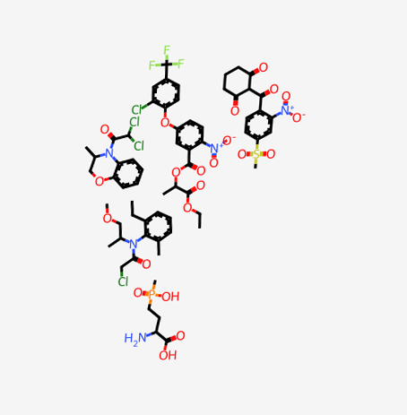 CC1COc2ccccc2N1C(=O)C(Cl)Cl.CCOC(=O)C(C)OC(=O)c1cc(Oc2ccc(C(F)(F)F)cc2Cl)ccc1[N+](=O)[O-].CCc1cccc(C)c1N(C(=O)CCl)C(C)COC.CP(=O)(O)CCC(N)C(=O)O.CS(=O)(=O)c1ccc(C(=O)C2C(=O)CCCC2=O)c([N+](=O)[O-])c1